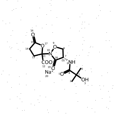 CC(C)(O)C(=O)N[C@H]1CON(C2(C(=O)[O-])CCC(=O)O2)C1=O.[Na+]